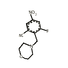 N#Cc1cc([N+](=O)[O-])cc(F)c1CN1CCOCC1